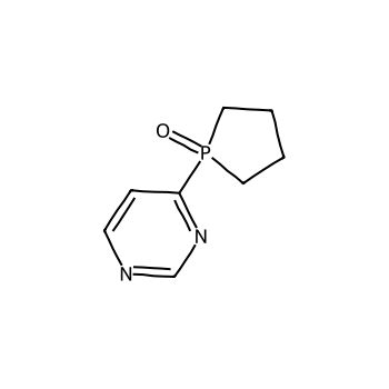 O=P1(c2ccncn2)CCCC1